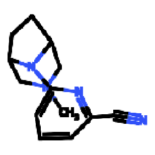 CN1CC2CCC(C1)N2c1cccc(C#N)n1